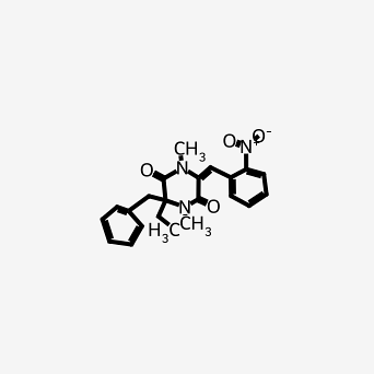 CCC1(Cc2ccccc2)C(=O)N(C)C(=Cc2ccccc2[N+](=O)[O-])C(=O)N1C